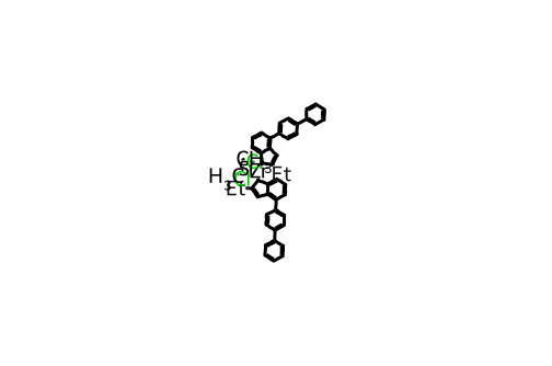 CCC1=Cc2c(-c3ccc(-c4ccccc4)cc3)cccc2[CH]1[Zr]([Cl])([Cl])([CH]1C(CC)=Cc2c(-c3ccc(-c4ccccc4)cc3)cccc21)=[Si](C)C